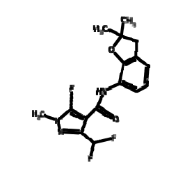 Cn1nc(C(F)F)c(C(=O)Nc2cccc3c2OC(C)(C)C3)c1F